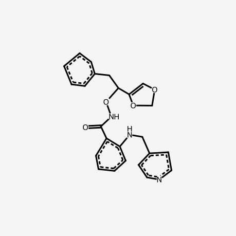 O=C(NOC(Cc1ccccc1)C1=COCO1)c1ccccc1NCc1ccncc1